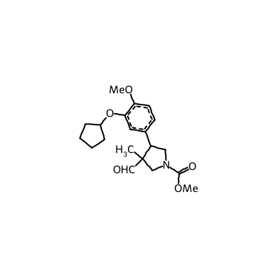 COC(=O)N1CC(c2ccc(OC)c(OC3CCCC3)c2)C(C)(C=O)C1